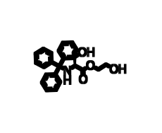 O=C(OCCO)[C@H](CO)NC(c1ccccc1)(c1ccccc1)c1ccccc1